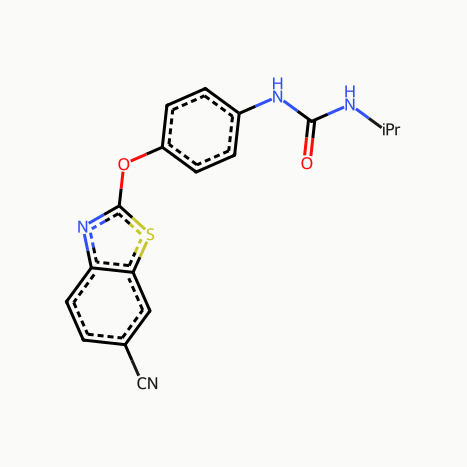 CC(C)NC(=O)Nc1ccc(Oc2nc3ccc(C#N)cc3s2)cc1